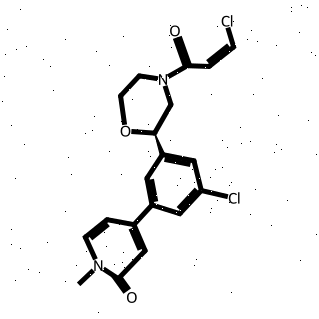 Cn1ccc(-c2cc(Cl)cc([C@@H]3CN(C(=O)/C=C\Cl)CCO3)c2)cc1=O